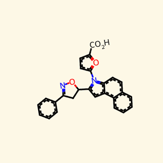 O=C(O)c1ccc(-n2c(C3CC(c4ccccc4)=NO3)cc3c4ccccc4ccc32)o1